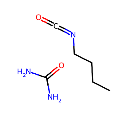 CCCCN=C=O.NC(N)=O